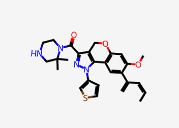 C=C(/C=C\C)c1cc2c(cc1OC)OCc1c(C(=O)N3CCNCC3(C)C)nn(-c3ccsc3)c1-2